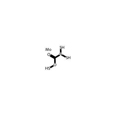 O=C(OS)N(S)S.[Mo]